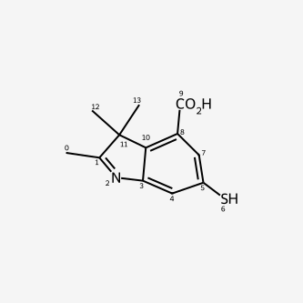 CC1=Nc2cc(S)cc(C(=O)O)c2C1(C)C